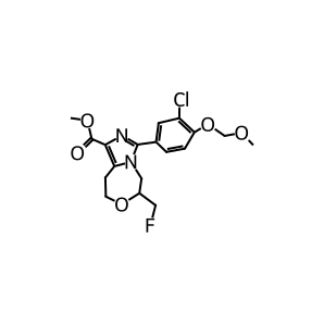 COCOc1ccc(-c2nc(C(=O)OC)c3n2CC(CF)OCC3)cc1Cl